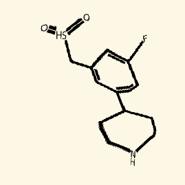 O=[SH](=O)Cc1cc(F)cc(C2CCNCC2)c1